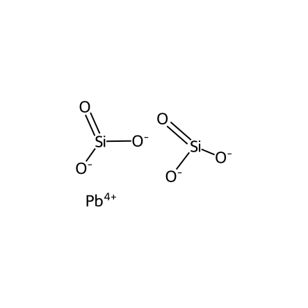 O=[Si]([O-])[O-].O=[Si]([O-])[O-].[Pb+4]